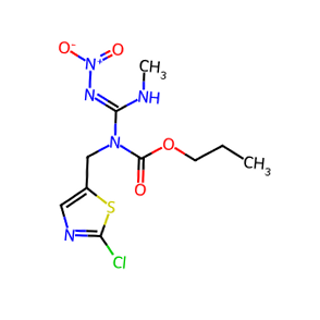 CCCOC(=O)N(Cc1cnc(Cl)s1)C(=N[N+](=O)[O-])NC